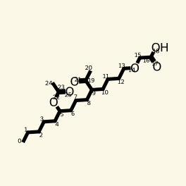 CCCCCC(CCCC(CCCCOCC(=O)O)C(C)=O)OC(C)=O